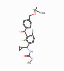 CC(C)(C)OC(=O)N[C@@H](c1ccc(Cl)c(C(=O)c2ccc(CO[Si](C)(C)C(C)(C)C)cc2)c1F)C1CC1